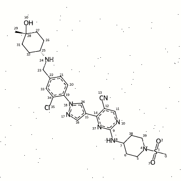 CS(=O)(=O)N1CCC(Nc2ncc(C#N)c(-c3cnn(-c4ccc(CN[C@H]5CC[C@@](C)(O)CC5)cc4Cl)c3)n2)CC1